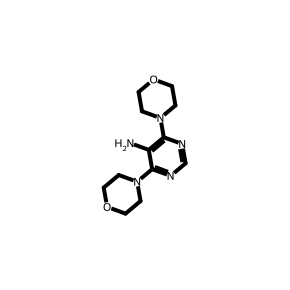 Nc1c(N2CCOCC2)ncnc1N1CCOCC1